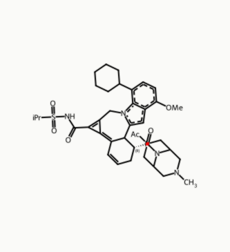 COc1ccc(C2CCCCC2)c2c1cc1n2CC2=C(C(=O)NS(=O)(=O)C(C)C)C2=C2C=CC[C@@H](C(=O)N3C4CN(C)CC3CN(C(C)=O)C4)C21